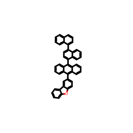 c1ccc2c(-c3ccc(-c4c5ccccc5c(-c5ccc6oc7ccccc7c6c5)c5ccccc45)c4ccccc34)cccc2c1